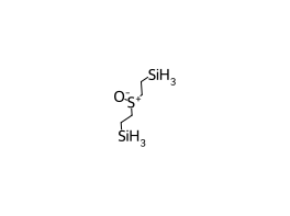 [O-][S+](CC[SiH3])CC[SiH3]